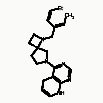 C/C=C(\C=C/CC)CN1CC[C@@]12CCN(c1ncnc3c1CC=CN3)C2